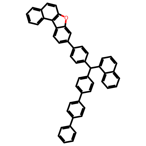 c1ccc(-c2ccc(-c3ccc(C(c4ccc(-c5ccc6c(c5)oc5ccc7ccccc7c56)cc4)c4cccc5ccccc45)cc3)cc2)cc1